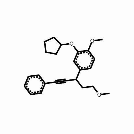 COCCC(C#Cc1ccccc1)c1ccc(OC)c(OC2CCCC2)c1